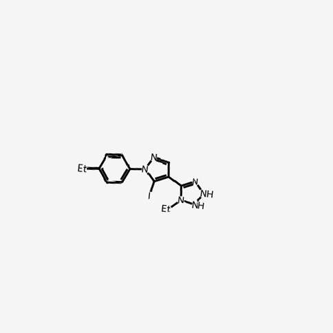 CCc1ccc(-n2ncc(C3=NNNN3CC)c2I)cc1